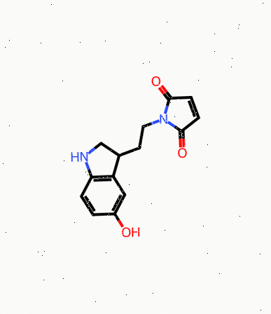 O=C1C=CC(=O)N1CCC1CNc2ccc(O)cc21